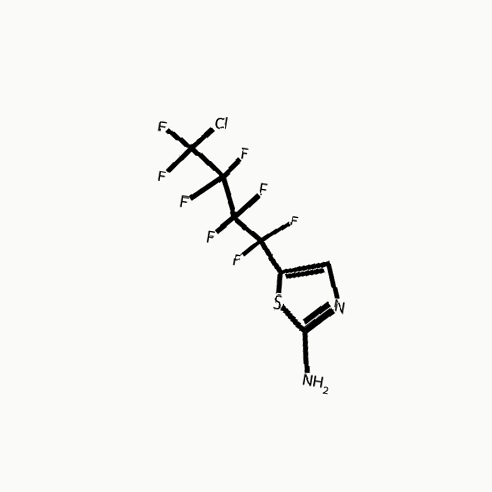 Nc1ncc(C(F)(F)C(F)(F)C(F)(F)C(F)(F)Cl)s1